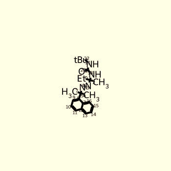 CCC(C)(N=NC(C)(C)c1cccc2ccccc12)NC(=O)NC(C)(C)C